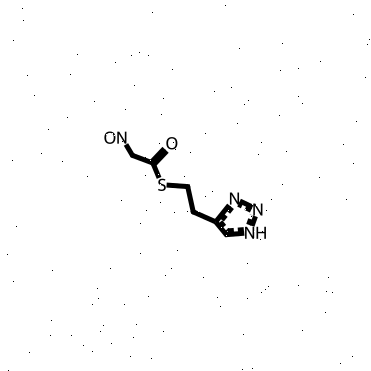 O=NCC(=O)SCCc1c[nH]nn1